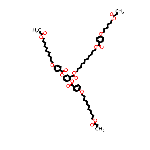 C=CC(=O)OCCCCCCCCCCCOc1ccc(C(=O)Oc2ccc(OC(=O)c3ccc(OCCCCCCCCCCCOC(=O)C=C)cc3)c(C(=O)OCCCCCCCCCCCOC(=O)c3ccc(OCCCCCCOC(=O)C=C)cc3)c2)cc1